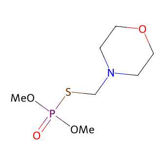 COP(=O)(OC)SCN1CCOCC1